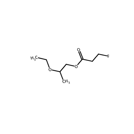 CCOC(C)COC(=O)CCF